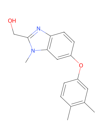 Cc1ccc(Oc2ccc3nc(CO)n(C)c3c2)cc1C